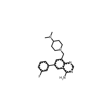 CN(C)C1CCN(Cc2cc(-c3cccc(F)c3)cc3c(N)ncnc23)CC1